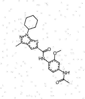 COc1cc(NC(C)=O)ccc1NC(=O)c1cc2c(C)nn(C3CCCCC3)c2s1